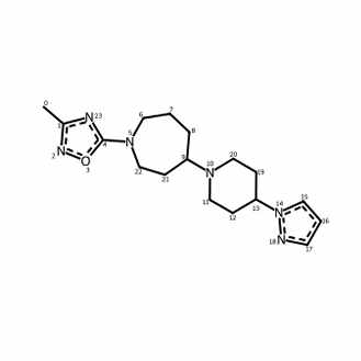 Cc1noc(N2CCCC(N3CCC(n4cccn4)CC3)CC2)n1